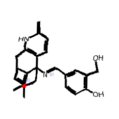 C=C1C=CC2=C(CC3C=C(C)CC2(/N=C/c2ccc(O)c(CO)c2)/C3=C/C)N1